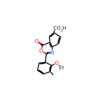 CCOc1c(C)cccc1-c1nc2ccc(C(=O)O)cc2c(=O)o1